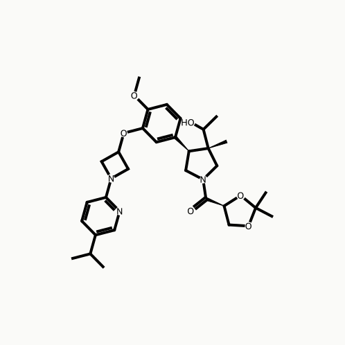 COc1ccc([C@@H]2CN(C(=O)[C@@H]3COC(C)(C)O3)C[C@@]2(C)C(C)O)cc1OC1CN(c2ccc(C(C)C)cn2)C1